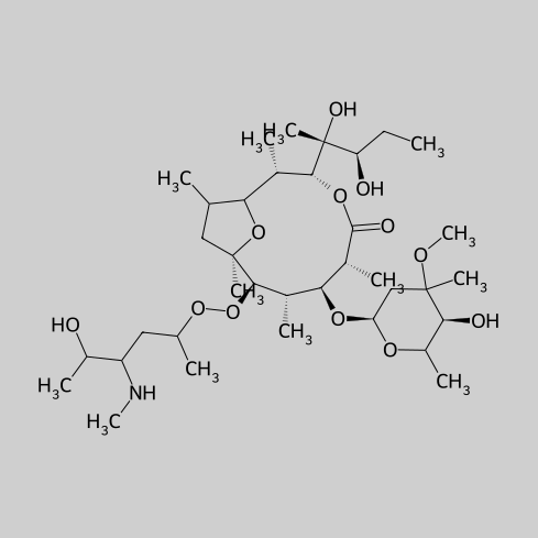 CC[C@@H](O)[C@@](C)(O)[C@@H]1OC(=O)[C@H](C)[C@@H](O[C@H]2CC(C)(OC)[C@@H](O)C(C)O2)[C@H](C)[C@@H](OOC(C)CC(NC)C(C)O)[C@@]2(C)CC(C)C(O2)[C@@H]1C